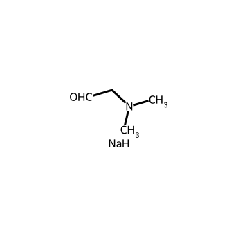 CN(C)CC=O.[NaH]